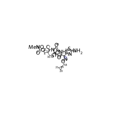 CNC(=O)OCC1=C(C(=O)O)N2C(=O)[C@@H](NC(=O)/C(=N\OCC3CC3)c3csc(N)n3)[C@H]2SC1